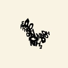 N[C@@H]1CC[C@H](NC(=O)CNC(=O)c2cccc(C(F)(F)F)c2)[C@H](Cc2ccccc2NC(=O)O)C1